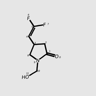 O=C1CC(C=C(F)F)CN1CO